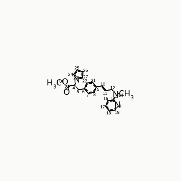 COC(=O)[C@H](Cc1ccc(C=CCN(C)c2ccccn2)cc1)n1cccc1